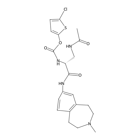 CC(=O)NC[C@@H](NC(=O)Oc1ccc(Cl)s1)C(=O)Nc1ccc2c(c1)CCN(C)CC2